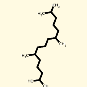 CC(C)CCCC(C)CCCC(C)CCCC(C)O